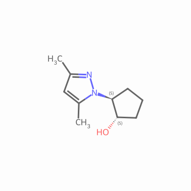 Cc1cc(C)n([C@H]2CCC[C@@H]2O)n1